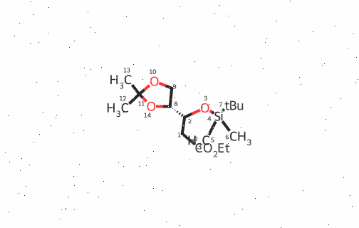 CCOC(=O)CC(O[Si](C)(C)C(C)(C)C)[C@H]1COC(C)(C)O1